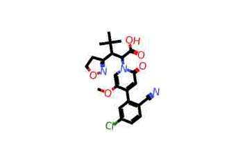 COc1cn(C(C(=O)O)C(C2=NOCC2)C(C)(C)C)c(=O)cc1-c1cc(Cl)ccc1C#N